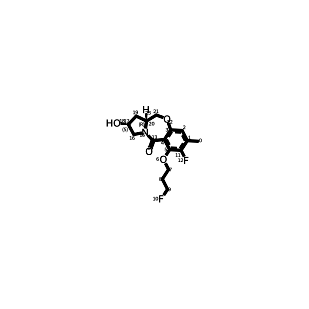 Cc1cc2c(c(OCCCF)c1F)C(=O)N1C[C@@H](O)C[C@@H]1CO2